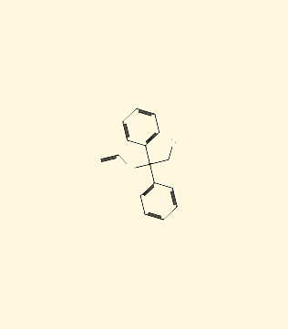 C=COC(CN)(c1ccccc1)c1ccccc1